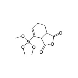 CO[Si](OC)(OC)C1=CCCC2C(=O)OC(=O)C12